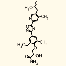 CCc1cc(-c2noc(-c3cc(C)c(CC(C)C)cn3)n2)cc(C)c1OC[C@H](O)C(N)=O